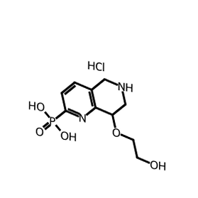 Cl.O=P(O)(O)c1ccc2c(n1)C(OCCO)CNC2